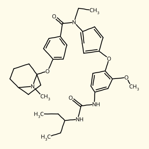 CCC(CC)NC(=O)Nc1ccc(Oc2ccc(N(CC)C(=O)c3ccc(OC45CCCC(CC4)N5C)cc3)cc2)c(OC)c1